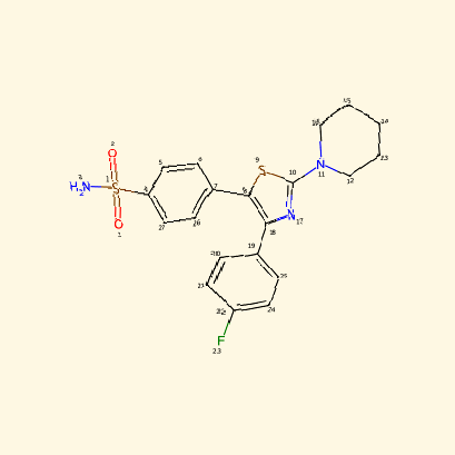 NS(=O)(=O)c1ccc(-c2sc(N3CCCCC3)nc2-c2ccc(F)cc2)cc1